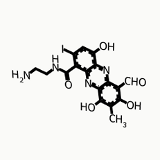 Cc1c(O)c(C=O)c2nc3c(O)cc(I)c(C(=O)NCCN)c3nc2c1O